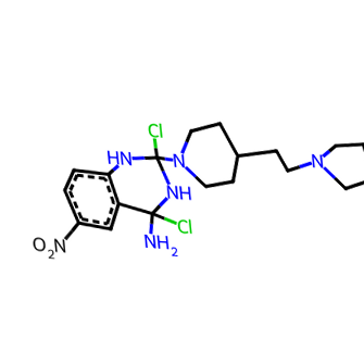 NC1(Cl)NC(Cl)(N2CCC(CCN3CCCC3)CC2)Nc2ccc([N+](=O)[O-])cc21